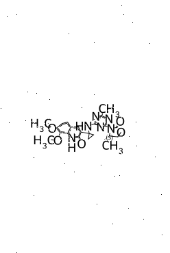 CC[C@H]1COC(=O)N1c1nc(C)nc(NC2(c3cc4ccc(OC)c(OC)c4[nH]c3=O)CC2)n1